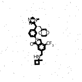 Cn1cnnc1[C@H](C[C@H]1COCCO1)c1cccc(N2Cc3c(cc(CNC4(C)CCC4)cc3C(F)(F)F)C2=O)c1